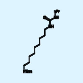 CCCCCCCCCCCCCCCCCCNC(=O)NCCC